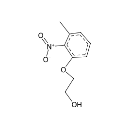 Cc1cccc(OCCO)c1[N+](=O)[O-]